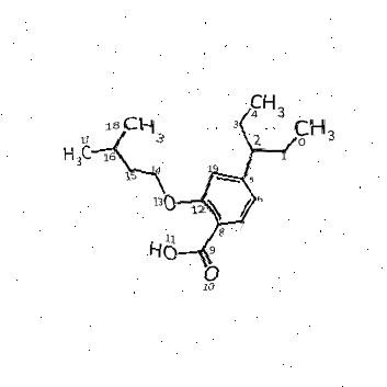 CCC(CC)c1ccc(C(=O)O)c(OCCC(C)C)c1